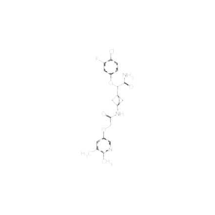 Cc1cc(OCC(=O)NC23CC(C(Oc4ccc(Cl)c(F)c4)C(N)=O)(C2)C3)cnc1C